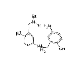 CCN(CC)Cc1cc(N)ccc1O.NCc1cc(N)ccc1O